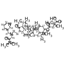 CC(C)C1=C2C(CC[C@]3(C)[C@@H]2CCC2[C@@]4(C)CC[C@H](OC(=O)CC(C)(C)C(=O)O)C(C)(C)C4CC[C@]23C)[C@H](CCN(CC(=O)N(C)C)Cc2cccnc2)C1=O